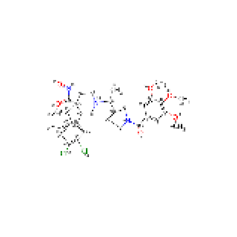 COc1cc(C(=O)N2CCC(C(C)N3CCC(C(=O)N=O)(c4ccccc4)C(c4ccc(Cl)c(Cl)c4)C3)C2)cc(OC)c1OC